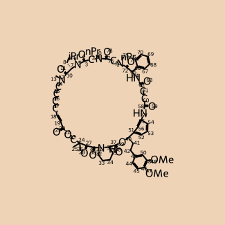 CCCN1CC(=O)N(C)[C@@H](CC(C)C)C(=O)N(C)CCCC/C=C/C(=O)OCC(C)(C)C(=O)C(=O)N2CCCC[C@H]2C(=O)O[C@H](CCc2ccc(OC)c(OC)c2)c2cccc(c2)NC(=O)CCC(=O)NC(c2ccccc2)C(=O)N(CCC)CC1=O